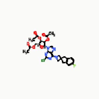 CC(=O)OC[C@H]1O[C@@H](n2cnc3c(N4CC5(Cc6ccc(F)cc6C5)C4)nc(Cl)nc32)C(OC(C)=O)C1OC(C)=O